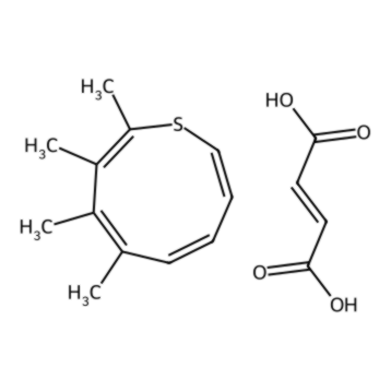 Cc1ccccsc(C)c(C)c1C.O=C(O)C=CC(=O)O